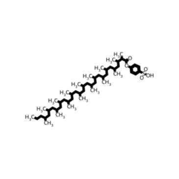 CCCC(C)CC(C)CC(C)CC(C)CC(C)CC(C)CC(C)CC(C)CC(C)CC(C)CC(C)CC(C)CC(C)CC(C)C(C)C(=O)Oc1ccc(S(=O)(=O)O)cc1